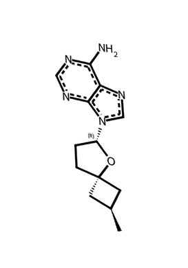 C[C@H]1C[C@@]2(CC[C@H](n3cnc4c(N)ncnc43)O2)C1